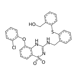 O=S1(=O)N=C(NCc2ccccc2Sc2ccccc2CO)Nc2c(Oc3ccccc3Cl)cccc21